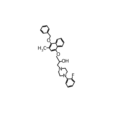 Cc1cc(OCC(O)CN2CCN(c3ccccc3F)CC2)c2ccccc2c1OCc1ccccc1